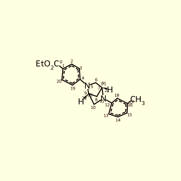 CCOC(=O)c1ccc(N2C[C@H]3C[C@@H]2CN3c2cccc(C)c2)cc1